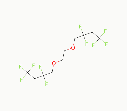 FC(F)(F)CC(F)(F)COCCOCC(F)(F)CC(F)(F)F